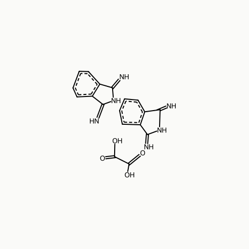 N=C1NC(=N)c2ccccc21.N=C1NC(=N)c2ccccc21.O=C(O)C(=O)O